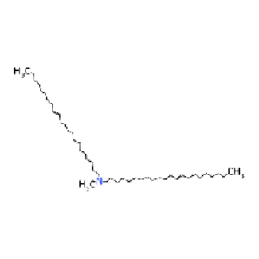 CCCCCCCCC=CCCCCCCCCCCCCN(C)CCCCCCCCCCCCC=CCCCCCCCC